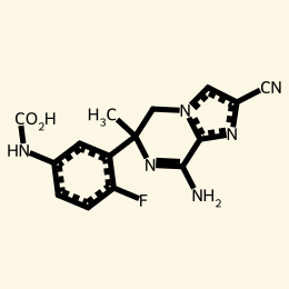 CC1(c2cc(NC(=O)O)ccc2F)Cn2cc(C#N)nc2C(N)=N1